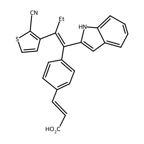 CC/C(=C(/c1ccc(/C=C/C(=O)O)cc1)c1cc2ccccc2[nH]1)c1ccsc1C#N